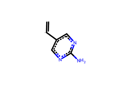 C=[C]c1cnc(N)nc1